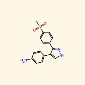 CS(=O)(=O)c1ccc(-c2n[nH]cc2-c2ccc(N)cc2)cc1